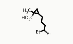 CCC(CC)CCCC1CC1(C)C(=O)O